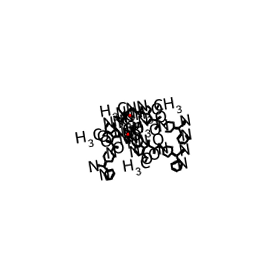 COc1cnc(-n2cnc(C)n2)c2c1c(C(=O)C(=O)N1CCC(=C(C#N)c3ccccn3)CC1)cn2COP(=O)(OCn1cc(C(=O)C(=O)N2CCC(=C(C#N)c3ccccn3)CC2)c2c(OC)cnc(-n3cnc(C)n3)c21)OCn1cc(C(=O)C(=O)N2CCC(=C(C#N)c3ccccn3)CC2)c2c(OC)cnc(-n3cnc(C)n3)c21